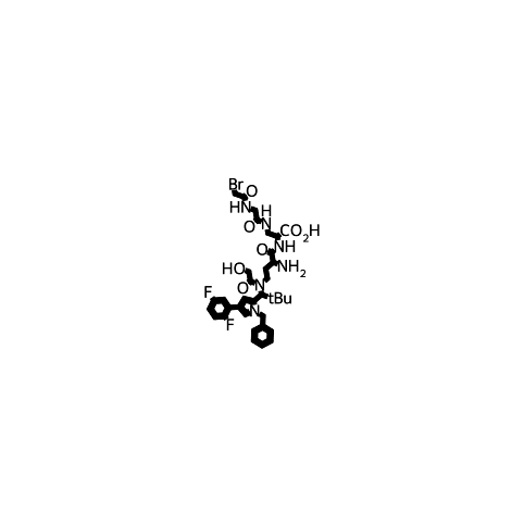 CC(C)(C)C(c1cc(-c2cc(F)ccc2F)cn1Cc1ccccc1)N(CCC(N)C(=O)NC(CNC(=O)CNC(=O)CBr)C(=O)O)C(=O)CO